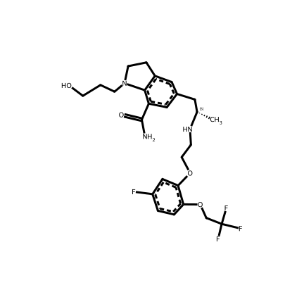 C[C@@H](Cc1cc2c(c(C(N)=O)c1)N(CCCO)CC2)NCCOc1cc(F)ccc1OCC(F)(F)F